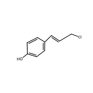 Oc1ccc(C=CCCl)cc1